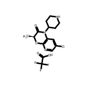 C[C@@H]1Oc2ncc(Cl)cc2N(C2CCNCC2)C1=O.O=C(O)C(F)(F)F